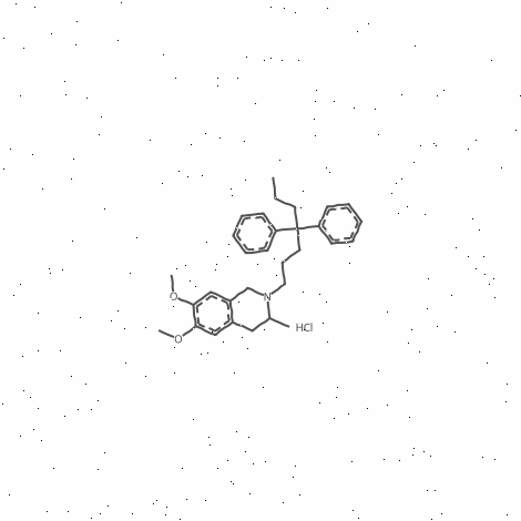 CCCC(CCCN1Cc2cc(OC)c(OC)cc2CC1C)(c1ccccc1)c1ccccc1.Cl